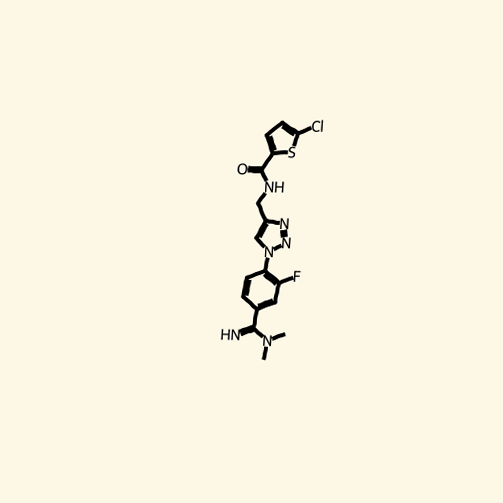 CN(C)C(=N)c1ccc(-n2cc(CNC(=O)c3ccc(Cl)s3)nn2)c(F)c1